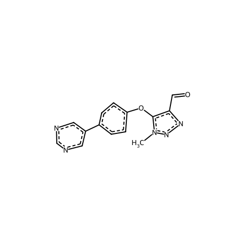 Cn1nnc(C=O)c1Oc1ccc(-c2cncnc2)cc1